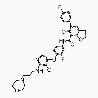 O=C(Nc1ccc(Oc2ccnc(NCCCN3CCOCC3)c2Cl)c(F)c1)c1c2c(cn(-c3ccc(F)cc3)c1=O)CCO2